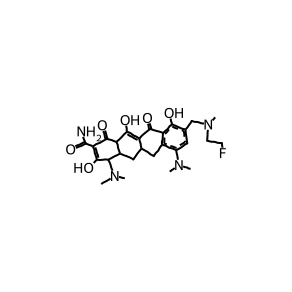 CN(CCF)Cc1cc(N(C)C)c2c(c1O)C(=O)C1=C(O)C3C(=O)C(C(N)=O)=C(O)C(N(C)C)C3CC1C2